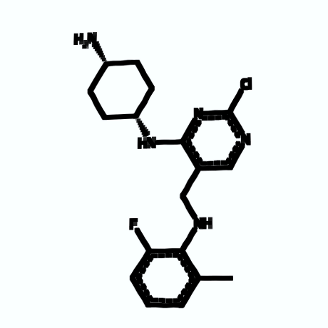 Cc1cccc(F)c1NCc1cnc(Cl)nc1N[C@H]1CC[C@@H](N)CC1